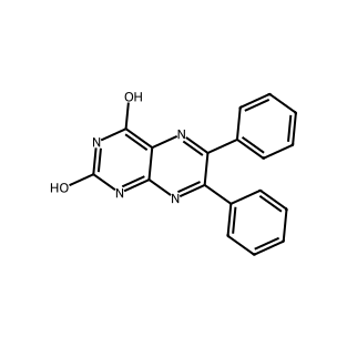 Oc1nc(O)c2nc(-c3ccccc3)c(-c3ccccc3)nc2n1